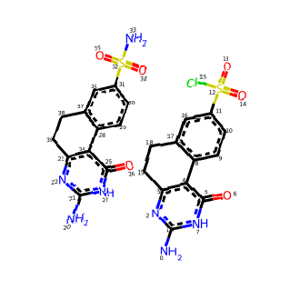 Nc1nc2c(c(=O)[nH]1)-c1ccc(S(=O)(=O)Cl)cc1CC2.Nc1nc2c(c(=O)[nH]1)-c1ccc(S(N)(=O)=O)cc1CC2